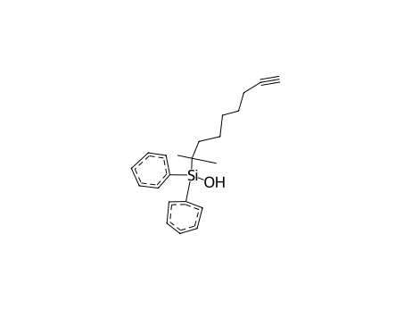 C#CCCCCCC(C)(C)[Si](O)(c1ccccc1)c1ccccc1